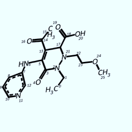 CCN1C(=O)C(Nc2cccnc2)=C(C(C)=O)C(C(=O)O)N1CCOC